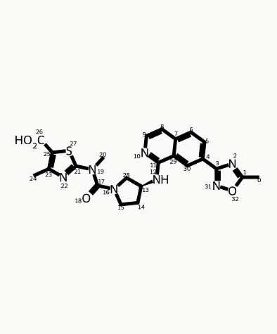 Cc1nc(-c2ccc3ccnc(N[C@H]4CCN(C(=O)N(C)c5nc(C)c(C(=O)O)s5)C4)c3c2)no1